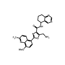 COc1ccc(-c2nc(C(=O)NC3CCCc4ncncc43)c(CN)o2)c2ccc(C(F)(F)F)nc12